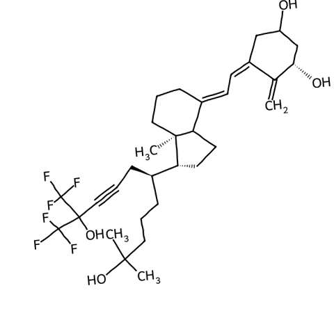 C=C1/C(=C\C=C2/CCC[C@@]3(C)C2CC[C@@H]3[C@H](CC#CC(O)(C(F)(F)F)C(F)(F)F)CCCC(C)(C)O)CC(O)C[C@@H]1O